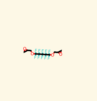 FC(F)(OCC1CO1)C(F)(F)C(F)(F)C(F)(F)C(F)(F)OCC1CO1